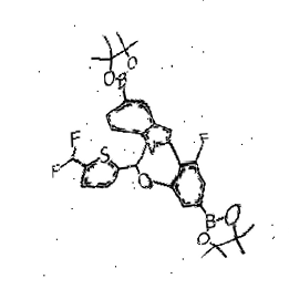 CC1(C)OB(c2cc(F)c3c(c2)OC(c2ccc(C(F)F)s2)n2c-3cc3cc(B4OC(C)(C)C(C)(C)O4)ccc32)OC1(C)C